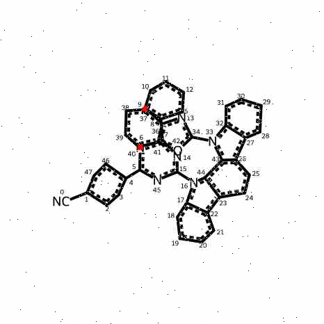 N#Cc1ccc(-c2nc(-c3ccccc3)nc(-n3c4ccccc4c4ccc5c6ccccc6n(-c6nc7ccccc7o6)c5c43)n2)cc1